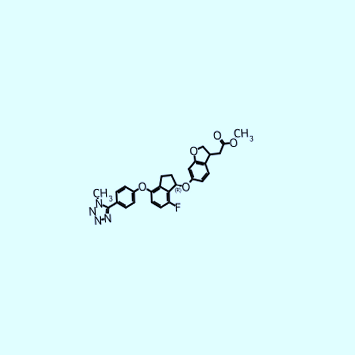 COC(=O)CC1COc2cc(O[C@@H]3CCc4c(Oc5ccc(-c6nnnn6C)cc5)ccc(F)c43)ccc21